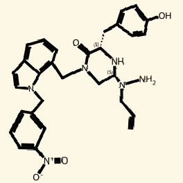 C=CCN(N)[C@H]1CN(Cc2cccc3ccn(Cc4cccc([N+](=O)[O-])c4)c23)C(=O)[C@H](Cc2ccc(O)cc2)N1